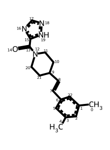 Cc1cc(C)cc(/C=C/C2CCN(C(=O)c3ncn[nH]3)CC2)c1